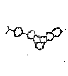 CC(C)c1ccc(-c2ccc3c(c2)c2cccc4c5cc6ccccc6cc5n3c24)cc1